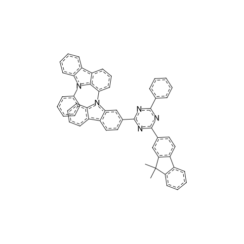 CC1(C)c2ccccc2-c2ccc(-c3nc(-c4ccccc4)nc(-c4ccc5c6ccccc6n(-c6cccc7c8ccccc8n(-c8ccccc8)c67)c5c4)n3)cc21